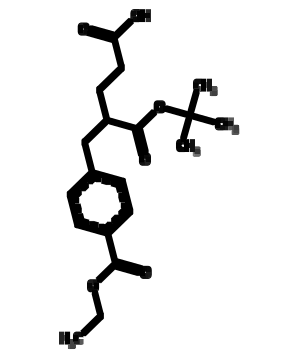 CCOC(=O)c1ccc(CC(CCC(=O)O)C(=O)OC(C)(C)C)cc1